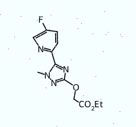 CCOC(=O)COc1nc(-c2ccc(F)cn2)n(C)n1